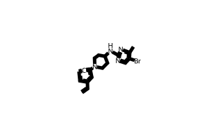 C=Cc1cccc(N2CCC(Nc3ncc(Br)c(C)n3)CC2)c1